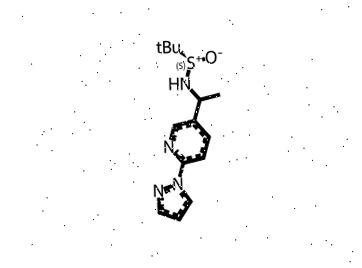 CC(N[S@+]([O-])C(C)(C)C)c1ccc(-n2cccn2)nc1